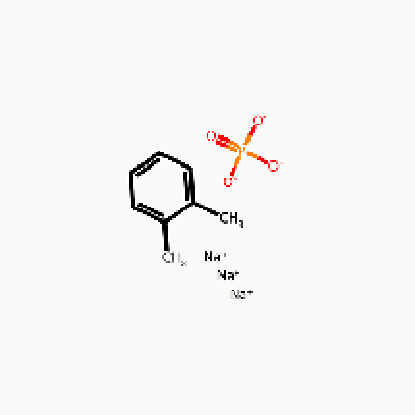 Cc1ccccc1C.O=P([O-])([O-])[O-].[Na+].[Na+].[Na+]